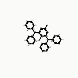 Cc1cc(C(c2ccccc2)c2ccccc2)c(I)c(C(c2ccccc2)c2ccccc2)c1